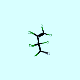 CCC(Cl)C(Cl)(Cl)C(Cl)=C(Cl)Cl